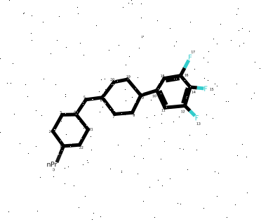 CCCC1CCC(CC2CCC(c3cc(F)c(F)c(F)c3)CC2)CC1